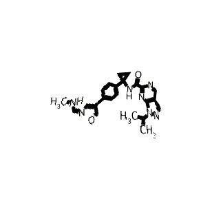 CN/C=N\C=C(/C=O)c1ccc(C2(NC(=O)c3ncc4cnn(C(C)C)c4n3)CC2)cc1